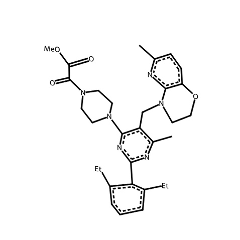 CCc1cccc(CC)c1-c1nc(C)c(CN2CCOc3ccc(C)nc32)c(N2CCN(C(=O)C(=O)OC)CC2)n1